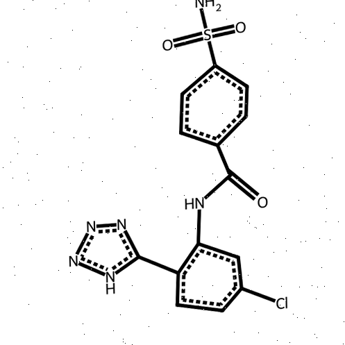 NS(=O)(=O)c1ccc(C(=O)Nc2cc(Cl)ccc2-c2nnn[nH]2)cc1